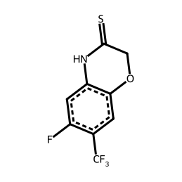 Fc1cc2c(cc1C(F)(F)F)OCC(=S)N2